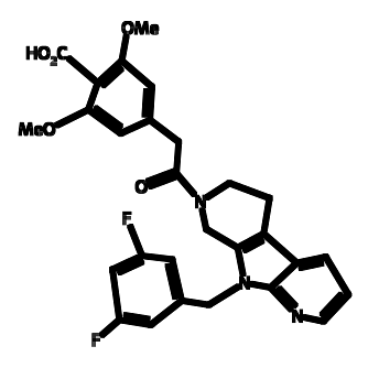 COc1cc(CC(=O)N2CCc3c(n(Cc4cc(F)cc(F)c4)c4ncccc34)C2)cc(OC)c1C(=O)O